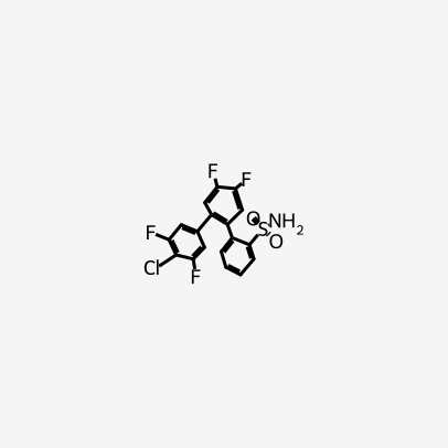 NS(=O)(=O)c1ccccc1-c1cc(F)c(F)cc1-c1cc(F)c(Cl)c(F)c1